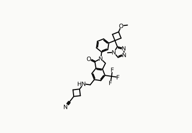 COC1CC(c2cccc(N3Cc4c(cc(CNC5CC(C#N)C5)cc4C(F)(F)F)C3=O)c2)(c2nncn2C)C1